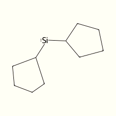 C1CCC([Si]C2CCCC2)C1